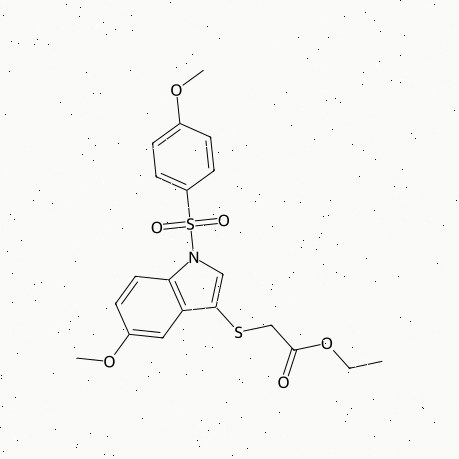 CCOC(=O)CSc1cn(S(=O)(=O)c2ccc(OC)cc2)c2ccc(OC)cc12